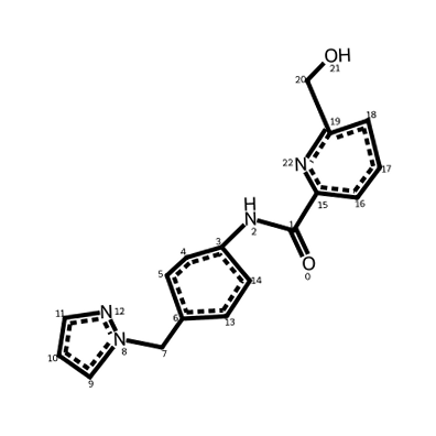 O=C(Nc1ccc(Cn2cccn2)cc1)c1cccc(CO)n1